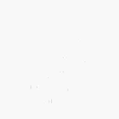 CC(C)(C)OOOC(=O)Oc1ccccc1